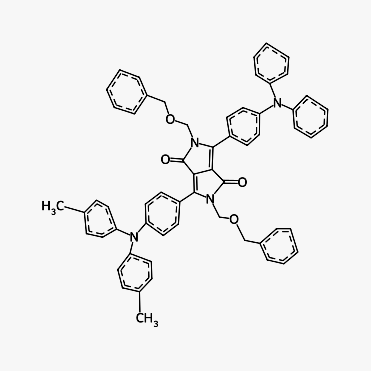 Cc1ccc(N(c2ccc(C)cc2)c2ccc(C3=C4C(=O)N(COCc5ccccc5)C(c5ccc(N(c6ccccc6)c6ccccc6)cc5)=C4C(=O)N3COCc3ccccc3)cc2)cc1